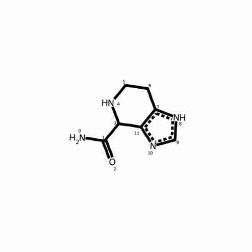 NC(=O)C1NCCc2[nH]cnc21